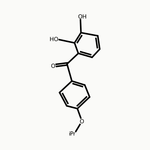 CC(C)Oc1ccc(C(=O)c2cccc(O)c2O)cc1